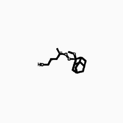 COC1(OO[C@H](C)CCCO)C2CC3CC(C2)CC1C3